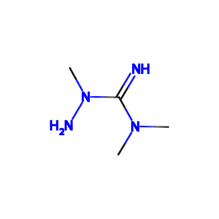 CN(C)C(=N)N(C)N